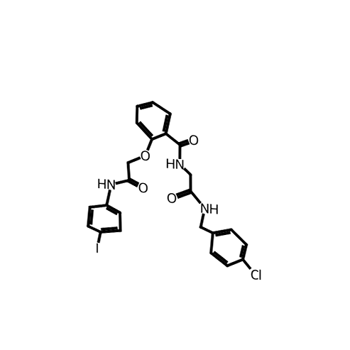 O=C(CNC(=O)c1ccccc1OCC(=O)Nc1ccc(I)cc1)NCc1ccc(Cl)cc1